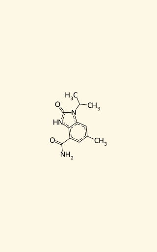 Cc1cc(C(N)=O)c2[nH]c(=O)n(C(C)C)c2c1